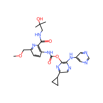 COCc1ccc(NC(=O)Oc2nc(C3CC3)cnc2Nc2cncnc2)c(C(=O)NCC(C)(C)O)n1